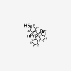 CCC[P+](c1ccccc1)(c1ccccc1)C(C)c1ccc(S)cc1.[Br-]